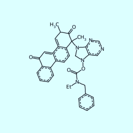 CCN(Cc1ccccc1)C(=O)ON1CN(C2(C)C(=O)C(C)C=c3c2ccc2c3=CC(=O)c3ccccc3-2)c2ncncc21